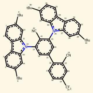 CC(C)(C)c1ccc2c3ccc(C(C)(C)C)cc3n(-c3cc(-c4ccc(C(F)(F)F)cc4C#N)cc(-n4c5cc(C(C)(C)C)ccc5c5ccc(C(C)(C)C)cc54)c3C#N)c2c1